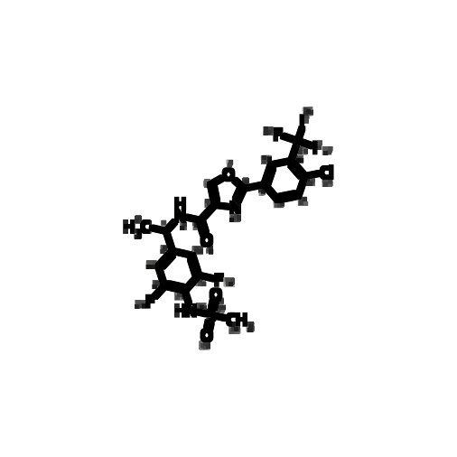 CC(NC(=O)c1coc(-c2ccc(Cl)c(C(F)(F)F)c2)n1)c1cc(F)c(NS(C)(=O)=O)c(F)c1